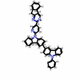 c1ccc(-n2c3ccccc3c3cc(-c4ccc5c(c4)c4ccccc4n5-c4ccc(-c5ncc6c(n5)Cc5ccccc5-6)cn4)ccc32)cc1